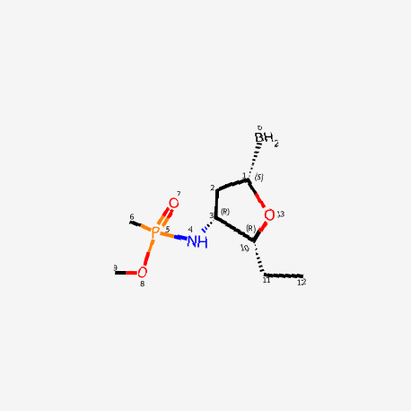 B[C@H]1C[C@@H](NP(C)(=O)OC)[C@@H](CC)O1